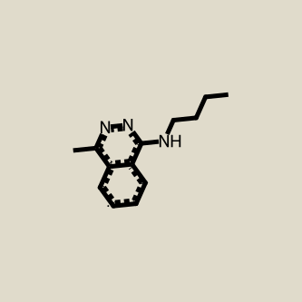 CCCCNc1nnc(C)c2c[c]ccc12